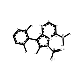 Cc1cccc(C)c1-c1c(C)n(C(=O)O)[n+]2c(N(C)C)ccnc12